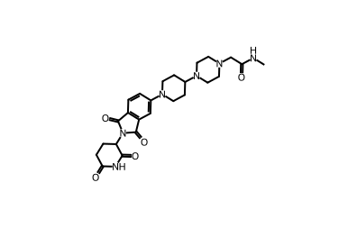 CNC(=O)CN1CCN(C2CCN(c3ccc4c(c3)C(=O)N(C3CCC(=O)NC3=O)C4=O)CC2)CC1